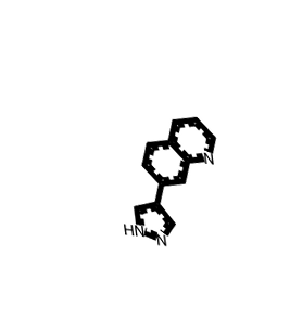 c1cnc2cc(-c3cn[nH]c3)ccc2c1